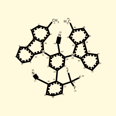 Cc1ccc2c3ccccc3n(-c3cc(-c4c(C#N)cccc4C(F)(F)F)cc(-n4c5ccccc5c5ccc(C)cc54)c3C#N)c2c1